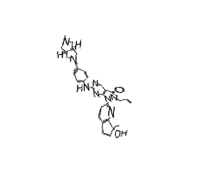 C=CCn1c(=O)c2cnc(Nc3ccc(N4C[C@H]5CN(C)C[C@H]5C4)cc3)nc2n1-c1ccc2c(n1)C(C)(O)CC2